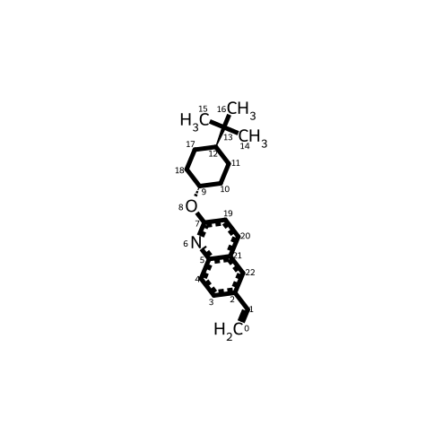 C=Cc1ccc2nc(O[C@H]3CC[C@H](C(C)(C)C)CC3)ccc2c1